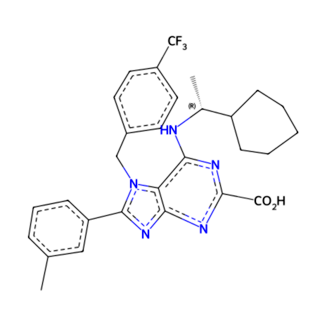 Cc1cccc(-c2nc3nc(C(=O)O)nc(N[C@H](C)C4CCCCC4)c3n2Cc2ccc(C(F)(F)F)cc2)c1